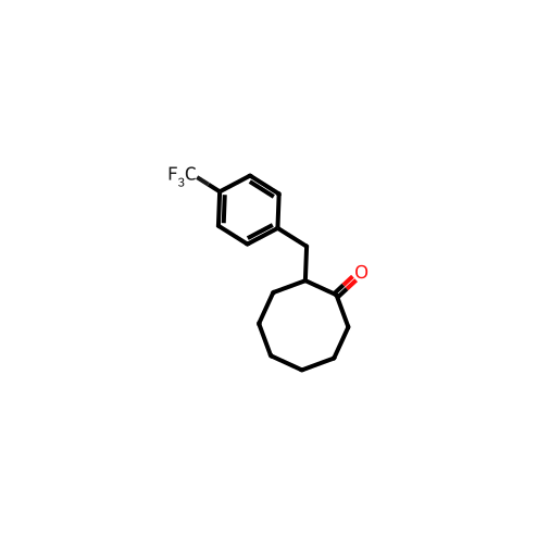 O=C1CCCCCCC1Cc1ccc(C(F)(F)F)cc1